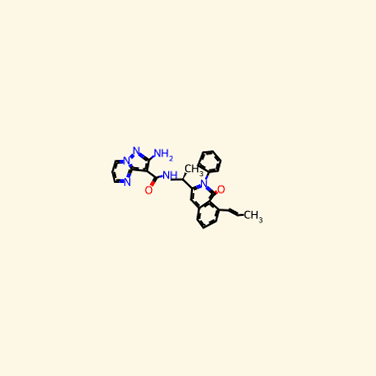 C/C=C/c1cccc2cc([C@H](C)CNC(=O)c3c(N)nn4cccnc34)n(-c3ccccc3)c(=O)c12